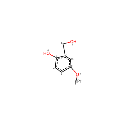 CCCOc1ccc(O)c(CO)c1